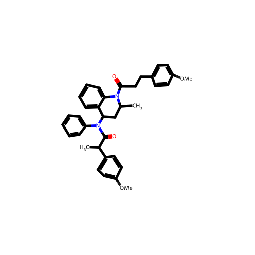 COc1ccc(CCC(=O)N2c3ccccc3C(N(C(=O)C(C)c3ccc(OC)cc3)c3ccccc3)CC2C)cc1